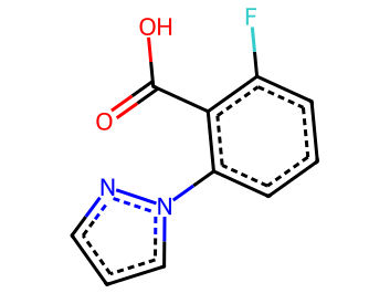 O=C(O)c1c(F)cccc1-n1cccn1